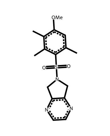 COc1cc(C)c(S(=O)(=O)N2Cc3nccnc3C2)c(C)c1C